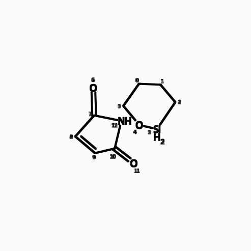 C1CC[SiH2]OC1.O=C1C=CC(=O)N1